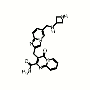 NC(=O)c1nc2ccccn2c(=O)c1Cc1cn2cc(CNC3CNC3)ccc2n1